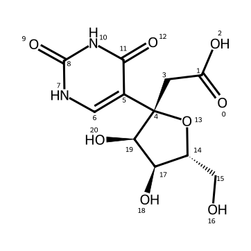 O=C(O)C[C@@]1(c2c[nH]c(=O)[nH]c2=O)O[C@H](CO)[C@@H](O)[C@H]1O